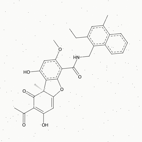 CCc1cc(C)c2ccccc2c1CNC(=O)c1c(OC)cc(O)c2c1OC1=CC(O)=C(C(C)=O)C(=O)[C@]12C